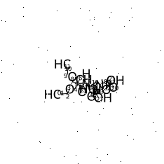 C#CCOCC(C)(COCC#C)C(=O)NCCN(CP(=O)(O)O)CP(=O)(O)O